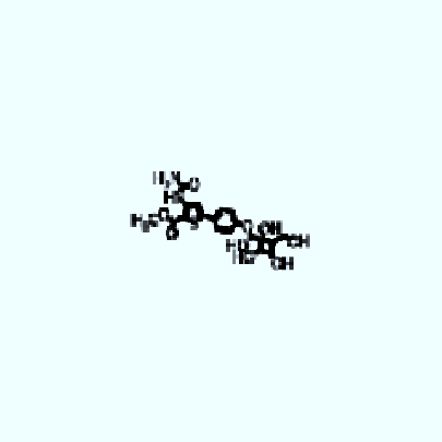 COC(=O)c1sc(-c2ccc(OC(O)C3(O)C(O)C(O)C3CO)cc2)cc1NC(N)=O